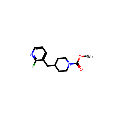 CC(C)(C)OC(=O)N1CCC(Cc2cccnc2F)CC1